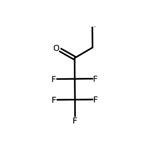 [CH2]CC(=O)C(F)(F)C(F)(F)F